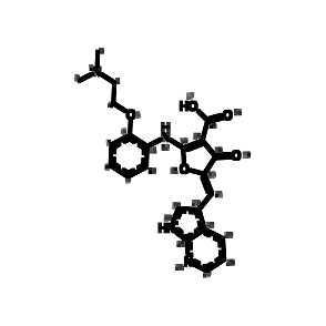 CN(C)CCOc1ccccc1NC1=C(C(=O)O)C(=O)/C(=C/c2c[nH]c3ncccc23)O1